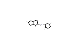 Cc1ccc(O)c(/N=N/c2c(S(=O)(=O)O)cc3cc(C)ccc3c2O)c1